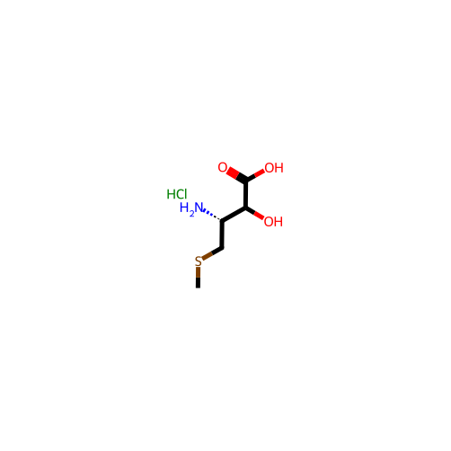 CSC[C@H](N)C(O)C(=O)O.Cl